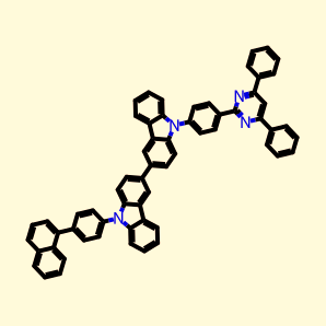 c1ccc(-c2cc(-c3ccccc3)nc(-c3ccc(-n4c5ccccc5c5cc(-c6ccc7c(c6)c6ccccc6n7-c6ccc(-c7cccc8ccccc78)cc6)ccc54)cc3)n2)cc1